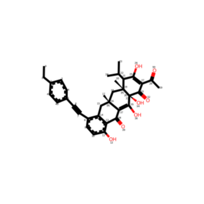 CCc1ccc(C#Cc2ccc(O)c3c2C[C@]2(C)C[C@]4(C)C(C(C)C)C(O)=C(C(C)=O)C(=O)[C@]4(O)C(O)=C2C3=O)cc1